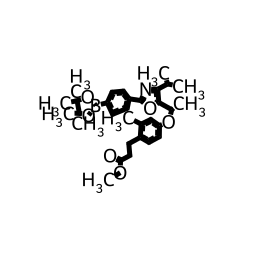 COC(=O)CCc1ccc(OC(C)c2oc(-c3ccc(B4OC(C)(C)C(C)(C)O4)cc3)nc2C(C)C)cc1C